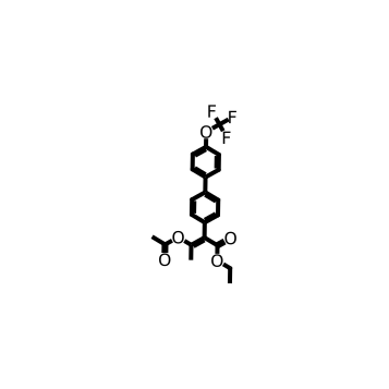 CCOC(=O)C(=C(C)OC(C)=O)c1ccc(-c2ccc(OC(F)(F)F)cc2)cc1